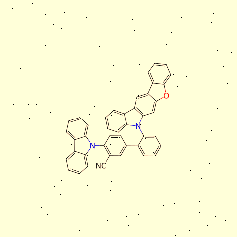 N#Cc1cc(-c2ccccc2-n2c3ccccc3c3cc4c(cc32)oc2ccccc24)ccc1-n1c2ccccc2c2ccccc21